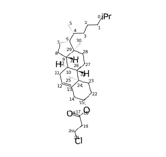 CC(C)CCC[C@@H](C)[C@H]1CC[C@H]2[C@@H]3CC=C4C[C@@H](OC(=O)CCCl)CC[C@]4(C)[C@H]3CC[C@]12C